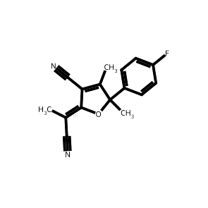 CC1=C(C#N)/C(=C(\C)C#N)OC1(C)c1ccc(F)cc1